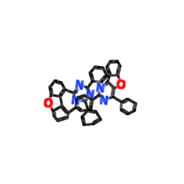 c1ccc(-c2nc(-c3ccccc3)nc(-c3cccc4oc5cccc(-c6ccc(-c7nc(-c8ccccc8)c8oc9ccccc9c8n7)cc6)c5c34)n2)cc1